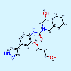 O=C(Nc1ccc(-c2cn[nH]c2)cc1OCCCO)N(CCO)CC1CCCCC1